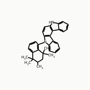 CC1CC(C)(C)c2c(-n3c4ccccc4c4c5c(ccc43)[nH]c3ccccc35)cccc2C1(C)C